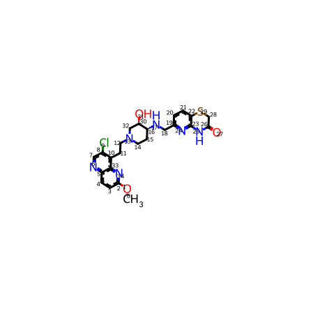 COc1ccc2ncc(Cl)c(CCN3CC[C@H](NCc4ccc5c(n4)NC(=O)CS5)[C@H](O)C3)c2n1